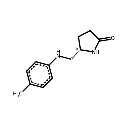 Cc1ccc(NC[C@@H]2CCC(=O)N2)cc1